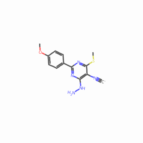 [C-]#[N+]c1c(NN)nc(-c2ccc(OC)cc2)nc1SC